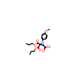 CCCOC(=O)C1(C(=O)OCCC)C(C(=O)OC)N1c1ccc(OC)cc1